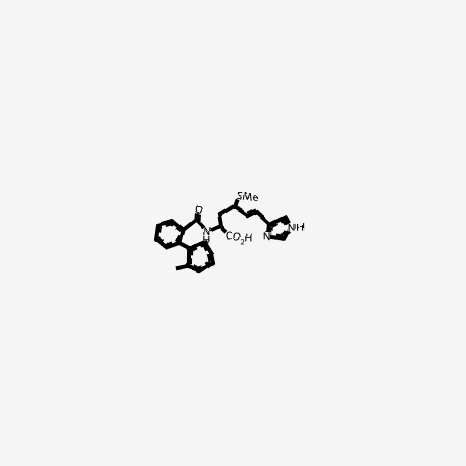 CSC(C=Cc1c[nH]cn1)CC(NC(=O)c1ccccc1-c1ccccc1C)C(=O)O